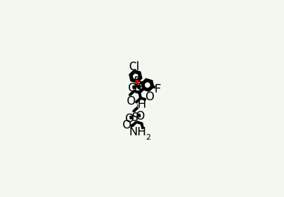 CCC(C(N)=O)S(=O)(=O)CC[C@@H]1OCC[C@@]2(S(=O)(=O)c3ccc(Cl)cc3)c3c(F)ccc(F)c3OC[C@@H]12